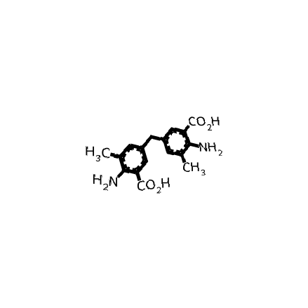 Cc1cc(Cc2cc(C)c(N)c(C(=O)O)c2)cc(C(=O)O)c1N